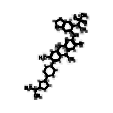 COc1cc(N2CCC(N3CCC(N(C)C)C3)CC2)c(C)cc1Nc1ncc(Br)c(Nc2cc3c(cc2N(C)S(C)(=O)=O)CCO3)n1